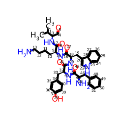 CC(C)[C@@H]([C]=O)NC(=O)[C@H](CCCCN)NC(=O)[C@@H](Cc1c[nH]c2ccccc12)NC(=O)[C@H](Cc1ccc(O)cc1)NC(=O)C(N)Cc1ccccc1